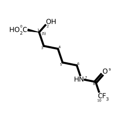 O=C(O)[C@@H](O)CCCCNC(=O)C(F)(F)F